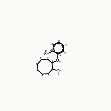 OC1CCCCCCC1Oc1ccccc1Br